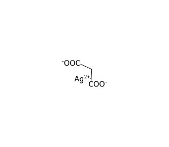 O=C([O-])CC(=O)[O-].[Ag+2]